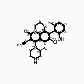 C[C@H]1CNCCN1c1c(C#N)c(=O)n2c3c(c(-c4c(O)cccc4F)c(Cl)cc13)OCC2